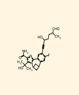 CN(C=O)CCC(O)C#Cc1cc2c(cc1F)C1CC(C1)n1c-2nc(C(N)=O)c1C(C)(C)O